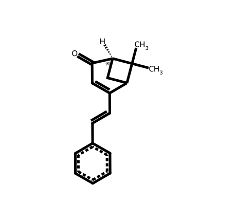 CC1(C)C2C[C@H]1C(=O)C=C2C=Cc1ccccc1